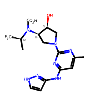 Cc1cc(Nc2cc[nH]n2)nc(N2C[C@@H](N(C(=O)O)[C@@H](C)C(F)(F)F)[C@@H](O)C2)n1